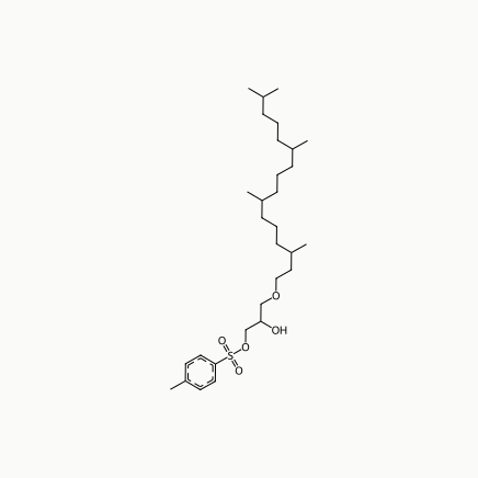 Cc1ccc(S(=O)(=O)OCC(O)COCCC(C)CCCC(C)CCCC(C)CCCC(C)C)cc1